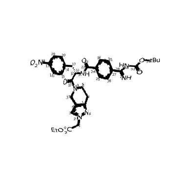 CCOC(=O)Cn1cc2c(n1)CCN(C(=O)[C@H](Cc1ccc([N+](=O)[O-])cc1)NC(=O)c1ccc(C(=N)NC(=O)OC(C)(C)C)cc1)C2